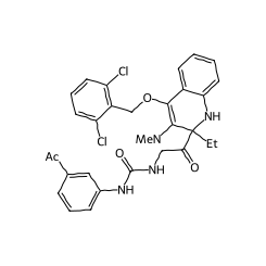 CCC1(C(=O)CNC(=O)Nc2cccc(C(C)=O)c2)Nc2ccccc2C(OCc2c(Cl)cccc2Cl)=C1NC